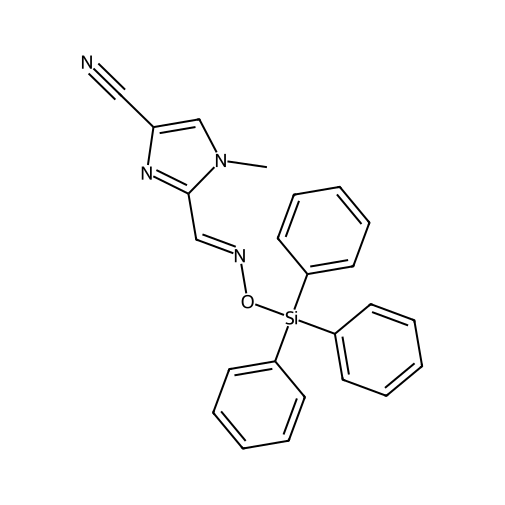 Cn1cc(C#N)nc1C=NO[Si](c1ccccc1)(c1ccccc1)c1ccccc1